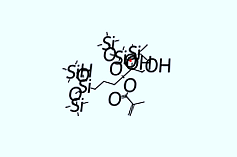 C=C(C)C(=O)OC(CCC[SiH](O[Si](C)(C)C)O[Si](C)(C)C)(O[Si](C)(O[Si](C)(C)C)O[Si](C)(C)C)C(O)CO